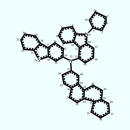 c1ccc(-n2c3ccccc3c3c(N(c4ccc5c(c4)sc4ccccc45)c4ccc5ccc6c7ccccc7ccc6c5c4)cccc32)cc1